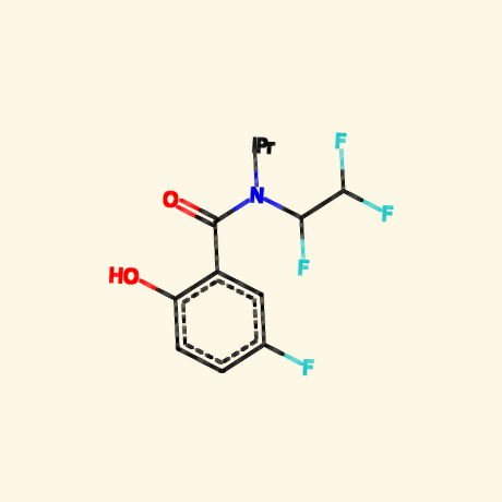 CC(C)N(C(=O)c1cc(F)ccc1O)C(F)C(F)F